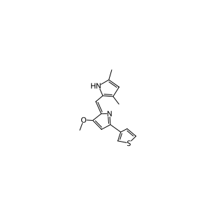 COC1=CC(c2ccsc2)=NC1=Cc1[nH]c(C)cc1C